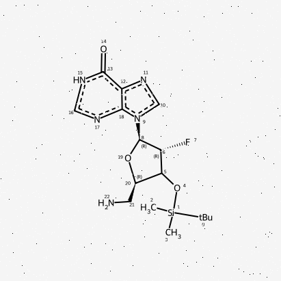 CC(C)(C)[Si](C)(C)OC1[C@@H](F)[C@H](n2cnc3c(=O)[nH]cnc32)O[C@@H]1CN